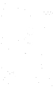 CCC(N)C1CCC(C2CCC(C(=O)Oc3ccc(C4CCC(NC)CC4)cc3)CC2)CC1